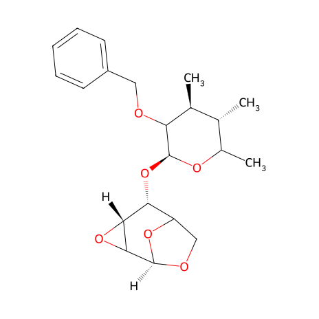 CC1O[C@@H](O[C@@H]2C3CO[C@H](O3)C3O[C@@H]32)C(OCc2ccccc2)[C@@H](C)[C@@H]1C